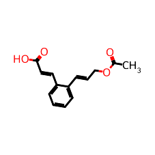 CC(=O)OC/C=C/c1ccccc1C=CC(=O)O